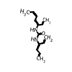 C=C/C=C(\C=C)NC(=O)N/C(C=C)=C/C=C\C